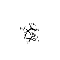 CCC(C)(C)/N=N\C(C)(C)C(C)=N